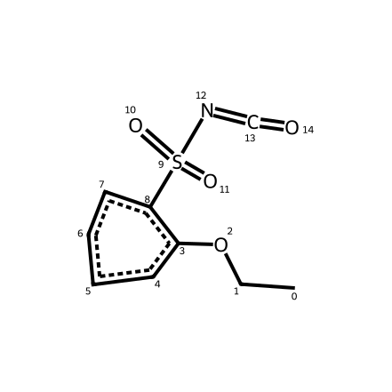 CCOc1ccccc1S(=O)(=O)N=C=O